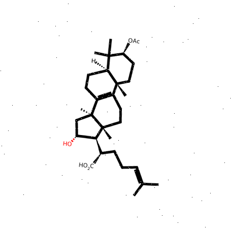 CC(=O)O[C@H]1CC[C@]2(C)C3=C(CC[C@H]2C1(C)C)[C@]1(C)C[C@@H](O)[C@H]([C@@H](CCC=C(C)C)C(=O)O)[C@@]1(C)CC3